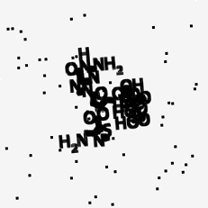 NCc1ncsc1C(=O)O[C@@H]1C[C@H](n2cnc3c(=O)[nH]c(N)nc32)OC1COP(=O)(O)OP(=O)(O)OP(=O)(O)O